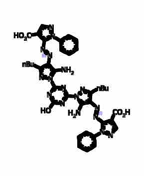 CCCCc1nn(-c2nc(O)nc(-n3nc(CCCC)c(/N=N/c4c(C(=O)O)cnn4-c4ccccc4)c3N)n2)c(N)c1/N=N/c1c(C(=O)O)cnn1-c1ccccc1